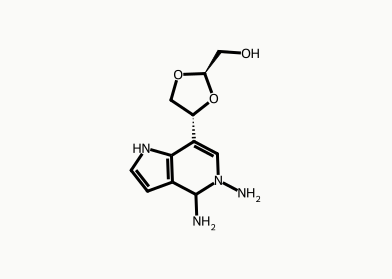 NC1c2cc[nH]c2C([C@@H]2CO[C@@H](CO)O2)=CN1N